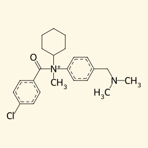 CN(C)Cc1ccc([N+](C)(C(=O)c2ccc(Cl)cc2)C2CCCCC2)cc1